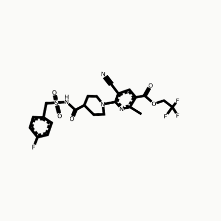 Cc1nc(N2CCC(C(=O)NS(=O)(=O)Cc3ccc(F)cc3)CC2)c(C#N)cc1C(=O)OCC(F)(F)F